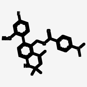 COc1cc(F)ccc1-c1ccc2c(c1COC(=O)c1ccc(N(C)C)cc1)C(C)=CC(C)(C)N2